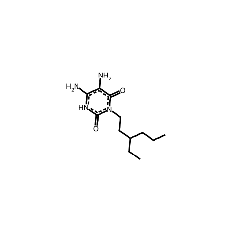 CCCC(CC)CCn1c(=O)[nH]c(N)c(N)c1=O